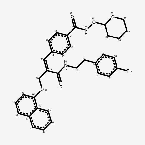 O=C(NCCc1ccc(F)cc1)C(=Cc1ccc(C(=O)NOC2CCCCO2)cc1)COc1cccc2ccccc12